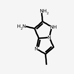 Cc1cn2[nH]c(N)c(N)c2n1